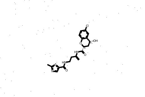 C=C(CCNC(=O)c1cnc(C)s1)NC(=O)[C@H]1C[C@@H](O)c2cc(Cl)ccc2O1